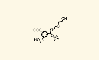 C[P+](C)(C)C.O=C([O-])c1cc(C(=O)OCCOCCO)cc(S(=O)(=O)O)c1